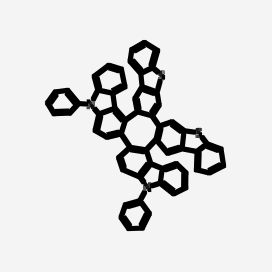 c1ccc(-n2c3ccccc3c3c4c(ccc32)-c2ccc3c(c2-c2cc5c(cc2-c2cc6sc7ccccc7c6cc2-4)sc2ccccc25)c2ccccc2n3-c2ccccc2)cc1